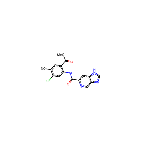 COC(=O)c1cc(C#N)c(Cl)cc1NC(=O)c1cc2[nH]cnc2cn1